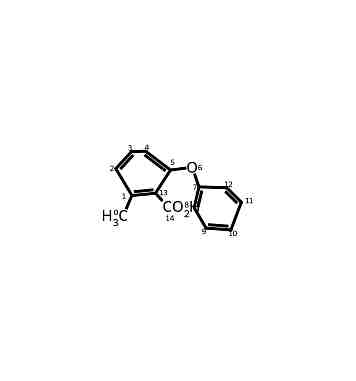 Cc1cccc(Oc2ccccc2)c1C(=O)O